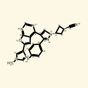 Cn1cnc(-c2cc3c(-c4cn([C@H]5C[C@H](C#N)C5)nc4-c4ccc(F)cc4)ncnc3o2)c1